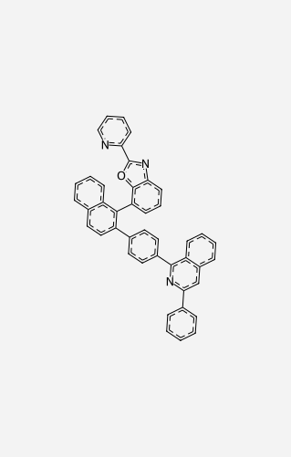 c1ccc(-c2cc3ccccc3c(-c3ccc(-c4ccc5ccccc5c4-c4cccc5nc(-c6ccccn6)oc45)cc3)n2)cc1